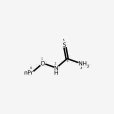 CCCONC(N)=S